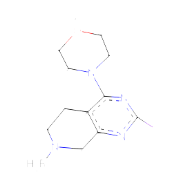 BN1CCc2c(nc(I)nc2N2CCOCC2)C1